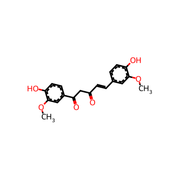 COc1cc(C=CC(=O)CC(=O)c2ccc(O)c(OC)c2)ccc1O